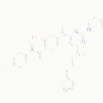 Cc1ccc(C(=O)Nc2ccc(Nc3nc(NCCCn4ccnc4)nc(N4CCCCC4)n3)cc2O)cc1